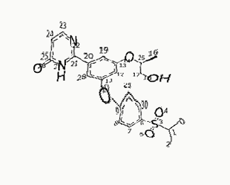 CC(C)S(=O)(=O)c1ccc(Oc2cc(O[C@@H](C)CO)cc(-c3nccc(=O)[nH]3)c2)cc1